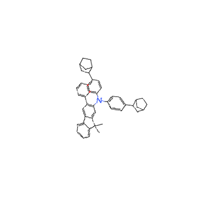 CC1(C)c2ccccc2-c2cc(-c3ccccc3)c(N(c3ccc(C4CC5CCC4C5)cc3)c3ccc(C4CC5CCC4C5)cc3)cc21